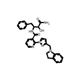 NC(=O)C(O)C(Cc1ccccc1)NC(=O)c1cccnc1-n1ccc(CN2CCc3ccccc32)n1